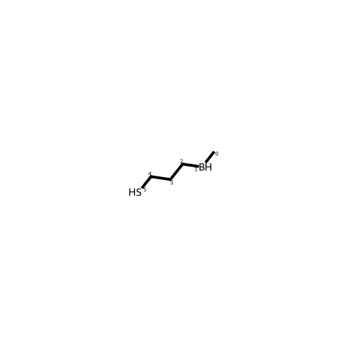 CBCCCS